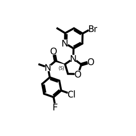 Cc1cc(Br)cc(N2C(=O)OC[C@H]2C(=O)N(C)c2ccc(F)c(Cl)c2)n1